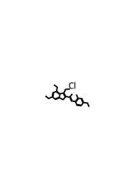 CCc1ccc(/C=C(\C)C2=C(CCCl)c3c(CC)cc(CC)cc3C2)c(C)c1